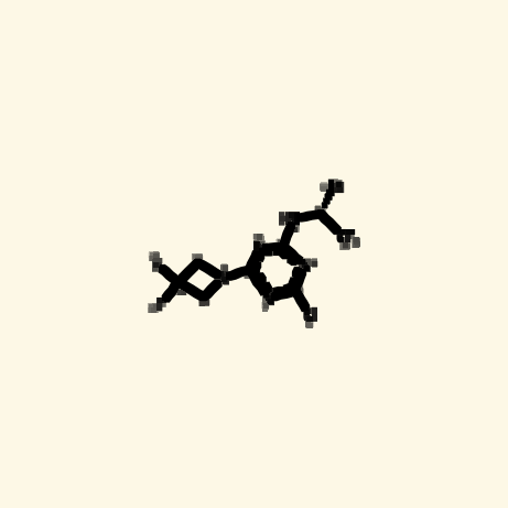 CC[C@@H](Nc1nc(Cl)nc(N2CC(F)(F)C2)n1)C(F)(F)F